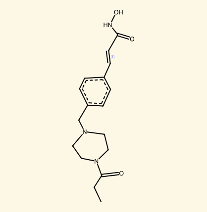 CCC(=O)N1CCN(Cc2ccc(/C=C/C(=O)NO)cc2)CC1